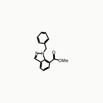 COC(=O)c1cccc2cnn(Cc3ccccc3)c12